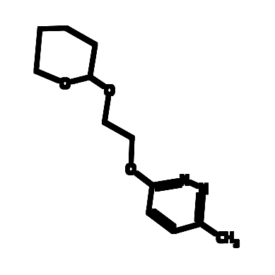 Cc1ccc(OCCOC2CCCCO2)nn1